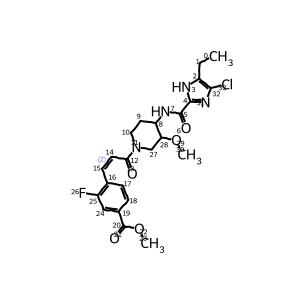 CCc1[nH]c(C(=O)NC2CCN(C(=O)/C=C\c3ccc(C(=O)OC)cc3F)CC2OC)nc1Cl